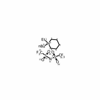 CCCC[N+]1(CC)CCCCC1.O=S(=O)([N-]S(=O)(=O)C(F)(F)F)C(F)(F)F